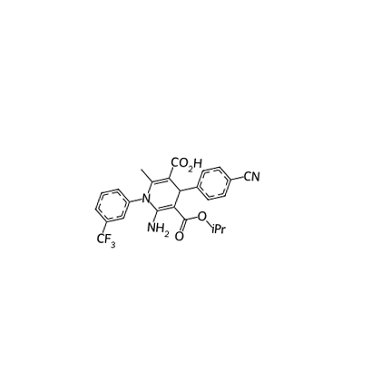 CC1=C(C(=O)O)C(c2ccc(C#N)cc2)C(C(=O)OC(C)C)=C(N)N1c1cccc(C(F)(F)F)c1